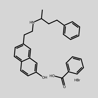 Br.CC(CCc1ccccc1)NCCc1ccc2ccc(O)cc2c1.O=C(O)c1ccccc1